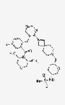 CC(C)S(=O)(=O)N[C@@H]1CC[C@@H](CN2CCC3(CC2)CN(c2ncncc2Oc2ccc(F)cc2C(=O)N2[C@H](C)COC[C@@H]2C)C3)OC1